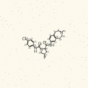 CN1CCc2ccc(NC(=O)[C@H]3CC(F)CN3C(=O)Nc3ccc(Cl)cc3)cc2CC1